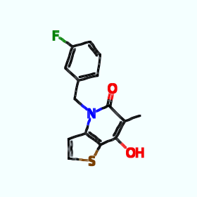 Cc1c(O)c2sccc2n(Cc2cccc(F)c2)c1=O